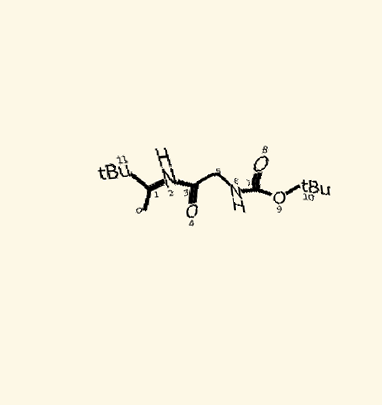 CC(NC(=O)CNC(=O)OC(C)(C)C)C(C)(C)C